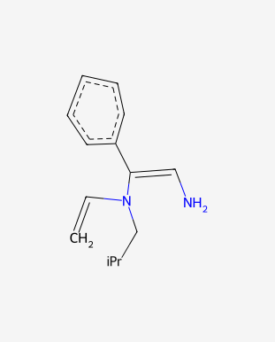 C=CN(CC(C)C)/C(=C\N)c1ccccc1